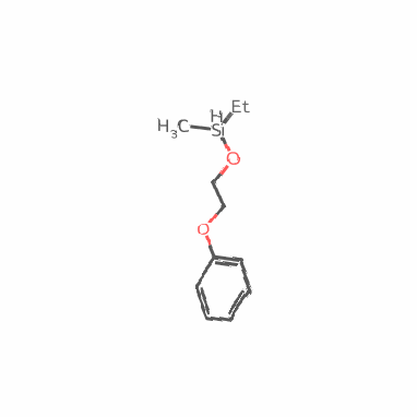 CC[SiH](C)OCCOc1ccccc1